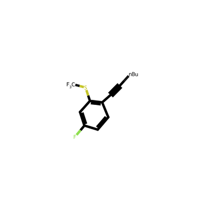 CCCCC#Cc1ccc(F)cc1SC(F)(F)F